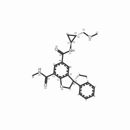 CC[C@]1(c2ccccc2)COc2c(C(=O)NC)cc(C(=O)N[C@H]3C[C@@H]3COC)cc21